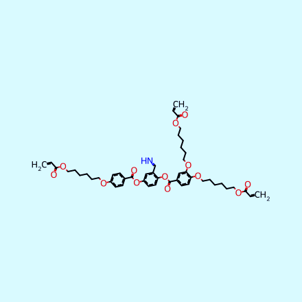 C=CC(=O)OCCCCCCOc1ccc(C(=O)Oc2ccc(OC(=O)c3ccc(OCCCCCCOC(=O)C=C)c(OCCCCCCOC(=O)C=C)c3)c(C=N)c2)cc1